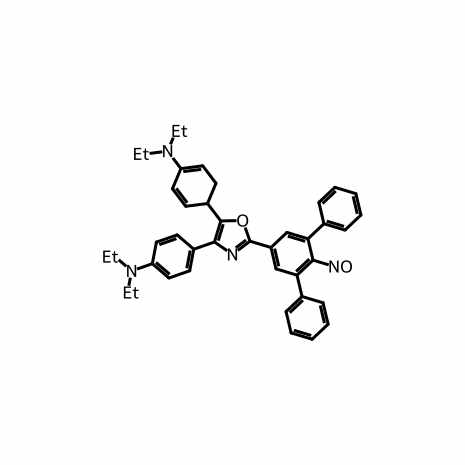 CCN(CC)C1=CCC(c2oc(-c3cc(-c4ccccc4)c(N=O)c(-c4ccccc4)c3)nc2-c2ccc(N(CC)CC)cc2)C=C1